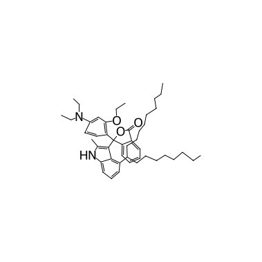 CCCCCCCCCC(CCCCCCCC)c1cccc2[nH]c(C)c(C3(c4ccc(N(CC)CC)cc4OCC)OC(=O)c4ccccc43)c12